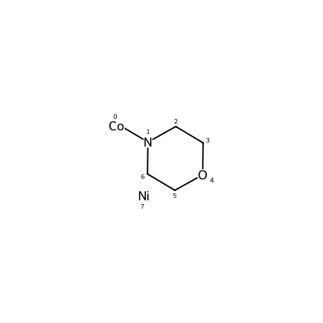 [Co][N]1CCOCC1.[Ni]